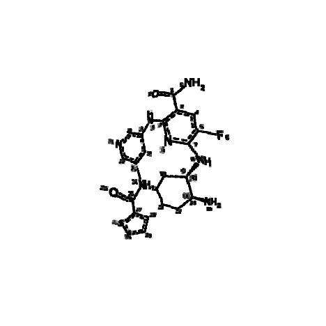 NC(=O)c1cc(F)c(N[C@@H]2CCCC[C@@H]2N)nc1Nc1cncc(NC(=O)c2cccs2)c1